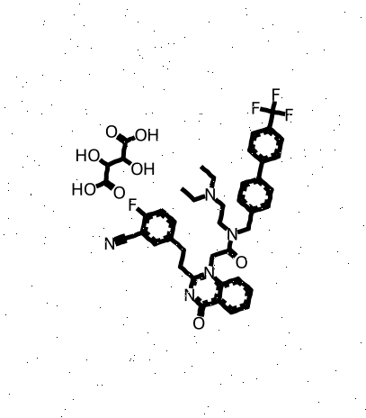 CCN(CC)CCN(Cc1ccc(-c2ccc(C(F)(F)F)cc2)cc1)C(=O)Cn1c(CCc2ccc(F)c(C#N)c2)nc(=O)c2ccccc21.O=C(O)C(O)C(O)C(=O)O